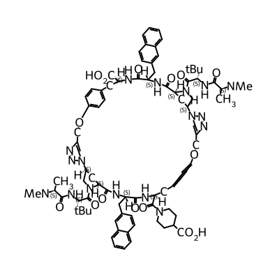 CN[C@@H](C)C(=O)N[C@H](C(=O)N1C[C@@H]2C[C@H]1C(=O)N[C@@H](Cc1ccc3ccccc3c1)C(=O)N[C@H](C(=O)O)Cc1ccc(cc1)OCc1cn(nn1)[C@H]1C[C@@H](C(=O)N[C@@H](Cc3ccc4ccccc4c3)C(=O)N[C@H](C(=O)N3CCC(C(=O)O)CC3)Cc3ccc(cc3)OCc3cn2nn3)N(C(=O)[C@@H](NC(=O)[C@H](C)NC)C(C)(C)C)C1)C(C)(C)C